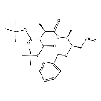 C=CC[C@@H](OCc1ccccc1)[C@H](C)OC(=O)[C@H](C)N(C(=O)OC(C)(C)C)C(=O)OC(C)(C)C